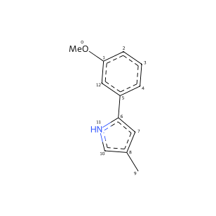 COc1cccc(-c2cc(C)c[nH]2)c1